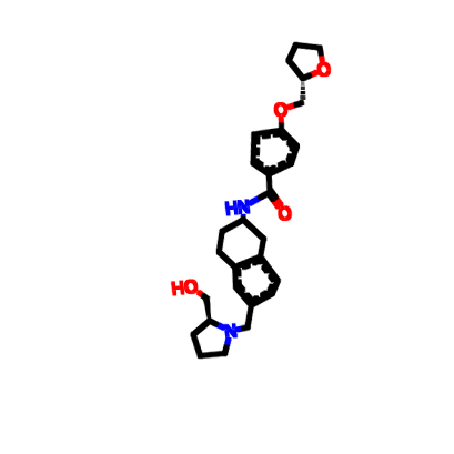 O=C(N[C@H]1CCc2cc(CN3CCC[C@H]3CO)ccc2C1)c1ccc(OC[C@@H]2CCCO2)cc1